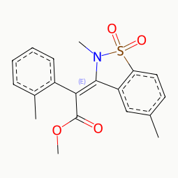 COC(=O)/C(=C1\c2cc(C)ccc2S(=O)(=O)N1C)c1ccccc1C